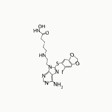 Nc1ncnc2c1nc(Sc1cc3c(cc1I)OCO3)n2CCNCCCCC(=O)NO